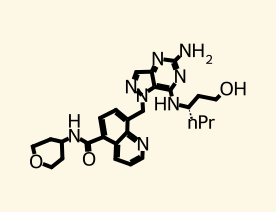 CCC[C@@H](CCO)Nc1nc(N)nc2cnn(Cc3ccc(C(=O)NC4CCOCC4)c4cccnc34)c12